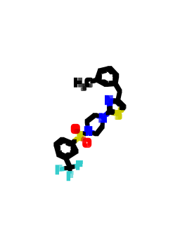 Cc1cccc(Cc2csc(N3CCN(S(=O)(=O)c4cccc(C(F)(F)F)c4)CC3)n2)c1